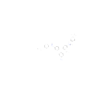 CCN(CC)c1ccc(C(c2ccc(N(CC)Cc3cccc(C)c3)cc2)c2ccc(N(CC)Cc3cccc(S(=O)(=O)O)c3)cc2)c(C)c1